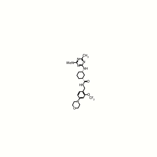 CNc1nc(C)nc(N[C@H]2CCC[C@@H](C(=O)NCc3ccc(N4CCOCC4)cc3OC(F)(F)F)C2)n1